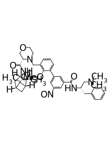 COc1c(CN2CCOC[C@H]2C(=O)N[C@H]2C[C@H]3C[C@@H]([C@@H]2C)C3(C)C)cccc1-c1cc(N=O)cc(C(=O)N[C@@H](Cc2ccccc2)CN(C)C)c1